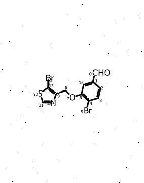 O=Cc1ccc(Br)c(OCc2ncsc2Br)c1